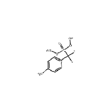 [CH2]c1ccc(C(F)(F)P(=O)(OO)OO)cc1